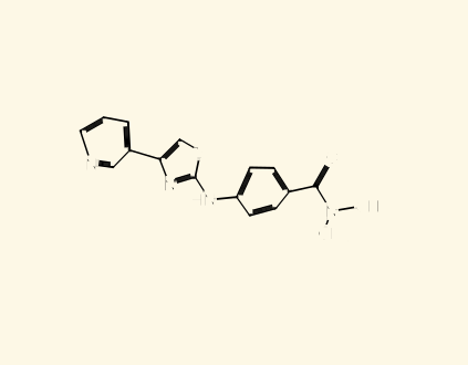 CN(C)C(=O)c1ccc(Nc2nc(-c3cccnc3)cs2)cc1